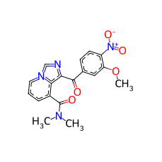 COc1cc(C(=O)c2ncn3cccc(C(=O)N(C)C)c23)ccc1[N+](=O)[O-]